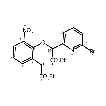 CCOC(=O)Cc1cccc([N+](=O)[O-])c1OC(C(=O)OCC)c1cccc(Br)n1